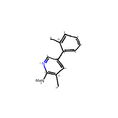 CNc1ncc(-c2ccccc2C)cc1C